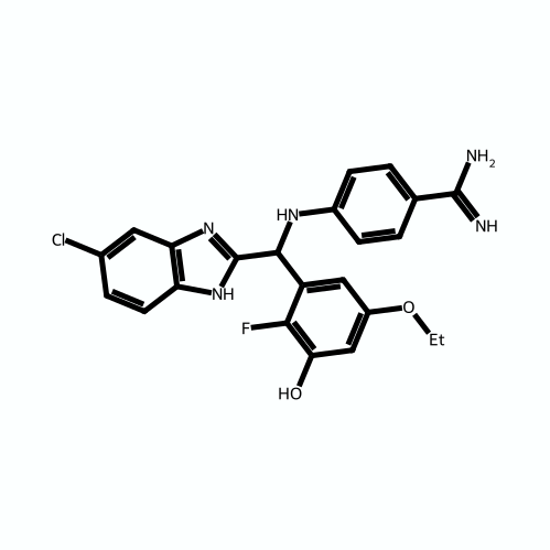 CCOc1cc(O)c(F)c(C(Nc2ccc(C(=N)N)cc2)c2nc3cc(Cl)ccc3[nH]2)c1